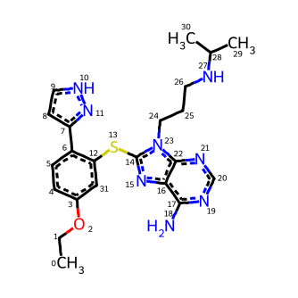 CCOc1ccc(-c2cc[nH]n2)c(Sc2nc3c(N)ncnc3n2CCCNC(C)C)c1